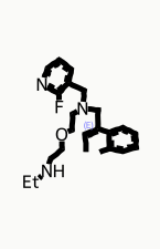 C/C=C(/CN(CCOCCNCC)Cc1cccnc1F)c1ccccc1C